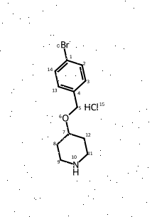 Brc1ccc(COC2CCNCC2)cc1.Cl